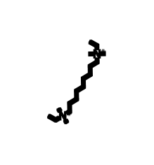 CC[N+](C)(C)CCCCCCCCC[N+](C)(C)CC